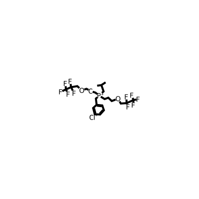 CC(C)C[P+](CCCOCC(F)(F)C(F)(F)F)(CCCOCC(F)(F)C(F)(F)F)Cc1ccccc1.[Cl-]